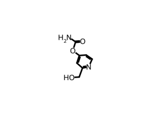 NC(=O)Oc1ccnc(CO)c1